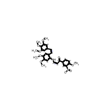 COc1cc(/C=C\c2cc(OC)c(OC)c(OC)c2)c(N/C=C\C(=O)c2ccc(OC)c([N+](=O)[O-])c2)cc1OC